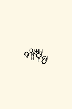 O=C(Nc1n[nH]c2nc(-c3cnn4ccccc34)c(F)cc12)c1cccnc1